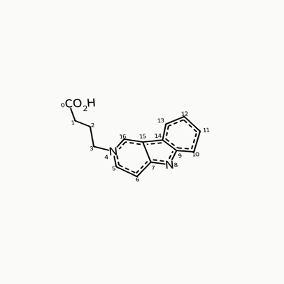 O=C(O)CCCn1ccc2nc3ccccc3c-2c1